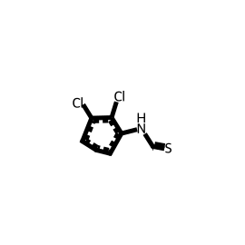 S=[C]Nc1cccc(Cl)c1Cl